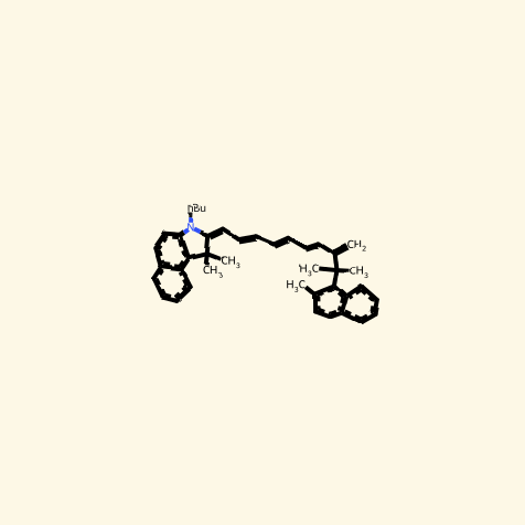 C=C(/C=C/C=C/C=C/C=C1/N(CCCC)c2ccc3ccccc3c2C1(C)C)C(C)(C)c1c(C)ccc2ccccc12